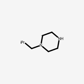 CC(C)CN1[CH]CNCC1